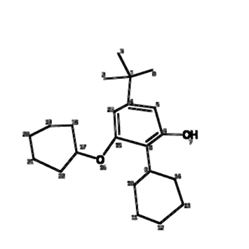 CC(C)(C)c1cc(O)c(C2CCCCC2)c(OC2CCCCC2)c1